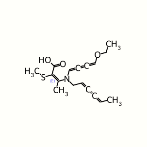 CC=C=C=CCN(C=C=C=COCC)/C(C)=C(/SC)C(=O)O